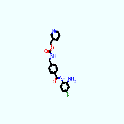 Nc1cc(F)ccc1NC(=O)c1ccc(CNC(=O)OCc2cccnc2)cc1